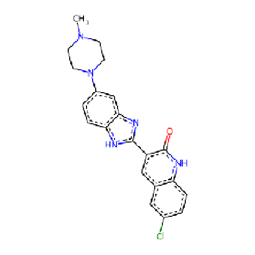 CN1CCN(c2ccc3[nH]c(-c4cc5cc(Cl)ccc5[nH]c4=O)nc3c2)CC1